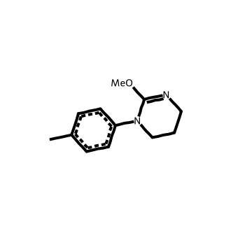 COC1=NCCCN1c1ccc(C)cc1